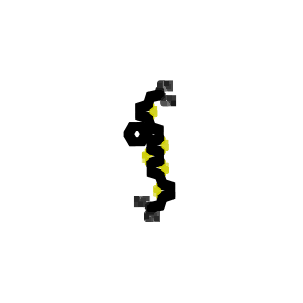 N#CC(C#N)=Cc1ccc(C2=Cc3sc4c(sc5cc(-c6ccc(C=C(C#N)C#N)s6)sc54)c3C23CCCCC3)s1